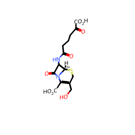 O=C(CCCC(=O)C(=O)O)NC1C(=O)N2C(C(=O)O)=C(CO)CS[C@@H]12